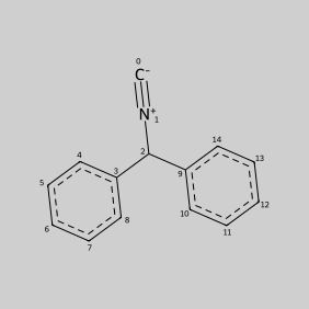 [C-]#[N+]C(c1ccccc1)c1ccccc1